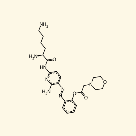 NCCCC[C@H](N)C(=O)Nc1ccc(/N=N/c2ccccc2OC(=O)CN2CCOCC2)c(N)n1